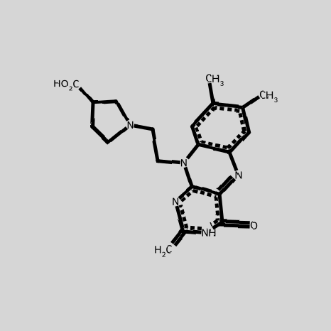 C=c1nc2c(c(=O)[nH]1)=Nc1cc(C)c(C)cc1N2CCN1CCC(C(=O)O)C1